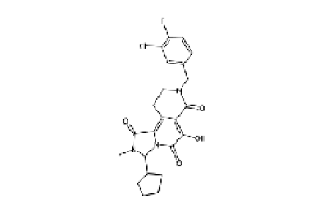 CN1C(=O)c2c3c(c(O)c(=O)n2C1C1CCCC1)C(=O)N(Cc1ccc(F)c(Cl)c1)CC3